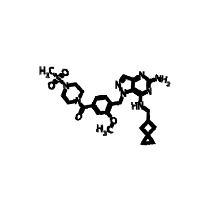 COc1cc(C(=O)N2CCN(S(C)(=O)=O)CC2)ccc1Cn1ncc2nc(N)nc(NCC3CC4(CC4)C3)c21